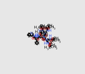 CC(C)(C)OC(=O)NCCN(CCNC(=O)OC(C)(C)C)C(=O)CN(CC(=O)N(CCNC(=O)OC(C)(C)C)CCNC(=O)OC(C)(C)C)C(=O)CC[C@H](NC(=O)OC(C)(C)C)C(=O)N[C@@H](CCc1ccccc1)C(=O)Nc1cnc2ccccc2c1